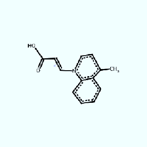 Cc1cc[n+](/C=C/C(=O)O)c2ccccc12